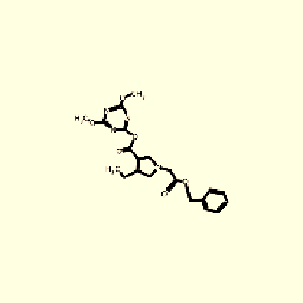 CCC1CN(CC(=O)OCc2ccccc2)CC1C(=O)Oc1nc(OC)nc(OC)n1